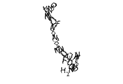 Cn1nc(N2CCC(=O)NC2=O)c2cc(F)c(N3CC4(CC(N5CCC6(CC5)CC(c5cnc7ccc(Oc8c(F)ccc(C9C(F)CCN9S(N)(=O)=O)c8C#N)cc7n5)C6)C4)C3)cc21